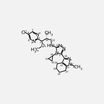 COC(c1ncc(Cl)cn1)[C@H](C)SNc1nnc(-c2nn(C)c3c2CCCC3)n1C1CC1